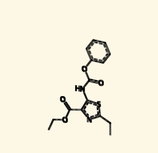 CCOC(=O)c1nc(CC)sc1NC(=O)Oc1ccccc1